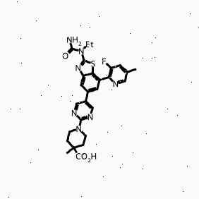 CCN(C(N)=O)c1nc2cc(-c3cnc(N4CCC(C)(C(=O)O)CC4)nc3)cc(-c3ncc(C)cc3F)c2s1